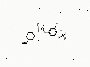 C=C[C@H]1CC[C@H](CC(F)(F)OCc2ccc(OC(F)(F)F)c(F)c2)CC1